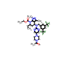 CCOC(=O)N1c2c(c(C)nn2C)C(N(Cc2cc(C(F)(F)F)cc(C(F)(F)F)c2)c2ncc(N3CCN(C(C)=O)CC3)cn2)CC1CC